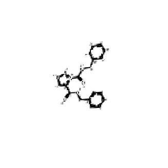 O=C(OCc1ccccc1)c1cnnn1C(=O)OCc1ccccc1